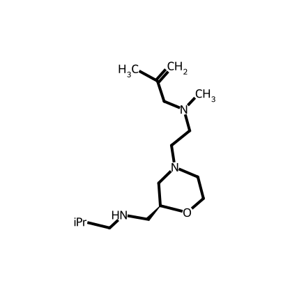 C=C(C)CN(C)CCN1CCO[C@@H](CNCC(C)C)C1